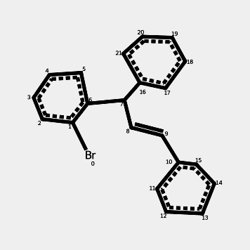 Brc1ccccc1C(/C=C/c1ccccc1)c1ccccc1